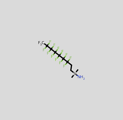 C[Si](C)(N)CCC(F)(F)C(F)(F)C(F)(F)C(F)(F)C(F)(F)C(F)(F)C(F)(F)F